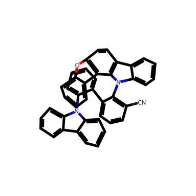 N#Cc1cccc(-c2ccccc2-n2c3ccccc3c3ccccc32)c1-n1c2ccccc2c2ccc3oc4ccccc4c3c21